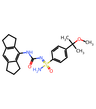 COC(C)(C)c1ccc(S(N)(=O)=NC(=O)Nc2c3c(cc4c2CCC4)CCC3)cc1